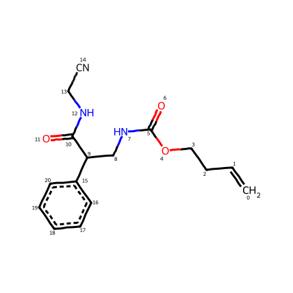 C=CCCOC(=O)NCC(C(=O)NCC#N)c1ccccc1